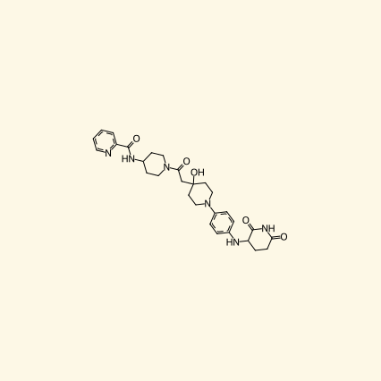 O=C1CCC(Nc2ccc(N3CCC(O)(CC(=O)N4CCC(NC(=O)c5ccccn5)CC4)CC3)cc2)C(=O)N1